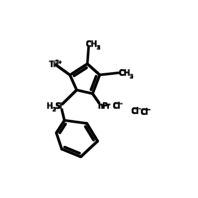 CCCC1=C(C)C(C)=[C]([Ti+3])C1[SiH2]c1ccccc1.[Cl-].[Cl-].[Cl-]